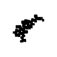 CC(C)CCn1c(=O)c(C2=NS(=O)(=O)c3cc(C=CC(N)=O)ccc3N2)c(O)c2ccccc21